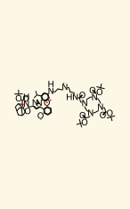 COc1cccc(OC)c1-c1cc(C(=O)NC2(C(=O)OC(C)(C)C)C3CC4CC(C3)CC2C4)nn1-c1ccc(NCCCN(C)CCCNC(=O)CN2CCN(CC(=O)OC(C)(C)C)CCN(CC(=O)OC(C)(C)C)CCN(C(=O)OC(C)(C)C)CC2)cc1C(C)C